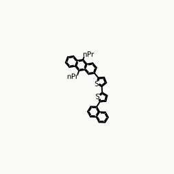 CCCc1c2ccccc2c(CCC)c2cc(-c3ccc(-c4ccc(-c5cccc6ccccc56)s4)s3)ccc12